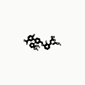 CCC[C@@H](CC(=O)O)c1cccc(OCc2ccc(-c3cc(C(F)F)ccc3F)c([C@H]3CCCC3(C)C)c2)c1F